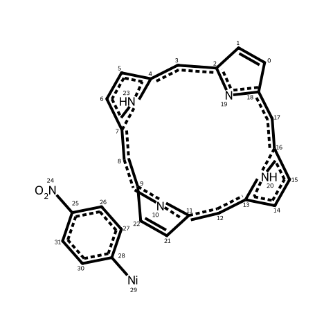 C1=Cc2cc3ccc(cc4nc(cc5ccc(cc1n2)[nH]5)C=C4)[nH]3.O=[N+]([O-])c1cc[c]([Ni])cc1